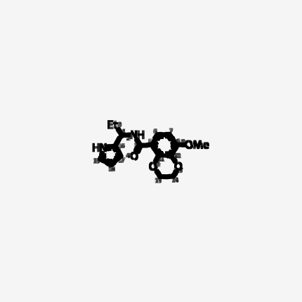 CCC(NC(=O)c1ccc(OC)c2c1OCCO2)c1ccc[nH]1